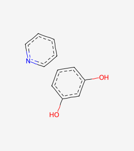 Oc1cccc(O)c1.c1ccncc1